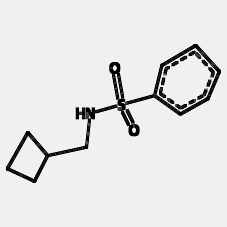 O=S(=O)(NCC1CCC1)c1ccccc1